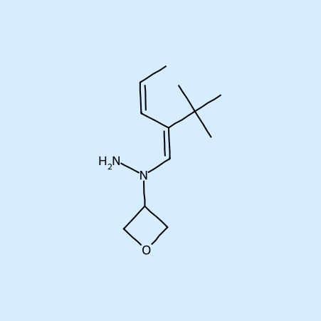 C/C=C\C(=C/N(N)C1COC1)C(C)(C)C